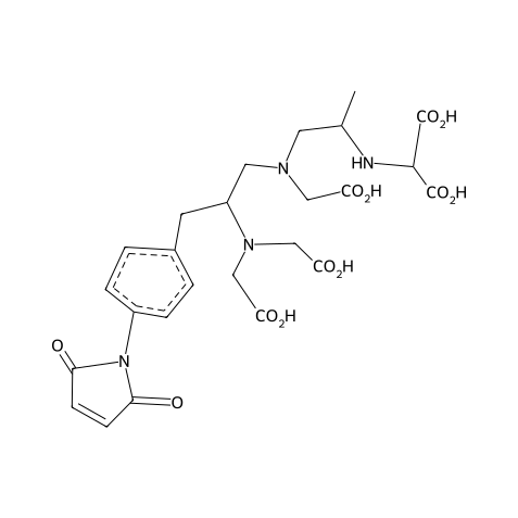 CC(CN(CC(=O)O)CC(Cc1ccc(N2C(=O)C=CC2=O)cc1)N(CC(=O)O)CC(=O)O)NC(C(=O)O)C(=O)O